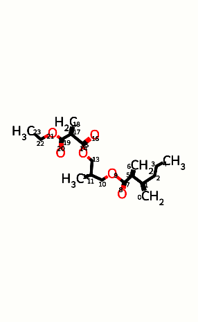 C=C(CCC)C(=C)C(=O)OCC(C)COC(=O)C(=C)C(=O)OCC